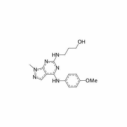 COc1ccc(Nc2nc(NCCCO)nc3c2cnn3C)cc1